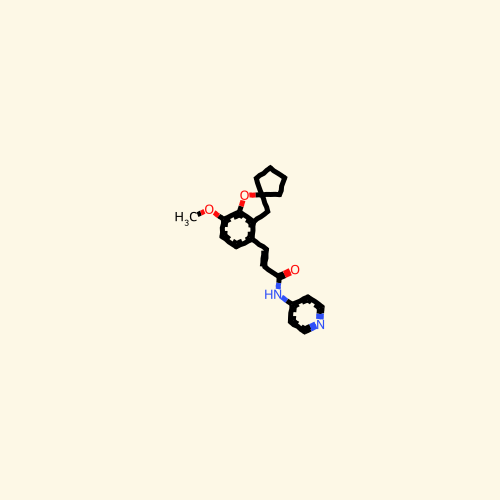 COc1ccc(C=CC(=O)Nc2ccncc2)c2c1OC1(CCCC1)C2